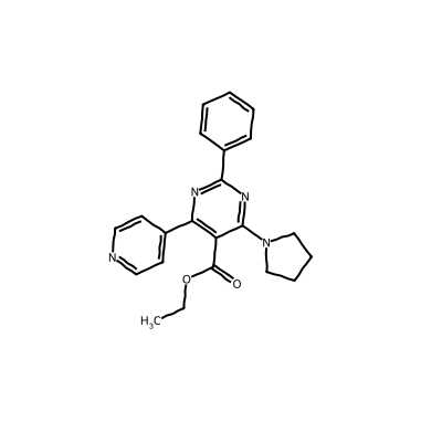 CCOC(=O)c1c(-c2ccncc2)nc(-c2ccccc2)nc1N1CCCC1